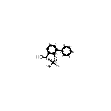 OCc1cccc(-c2ccccc2)c1OC(F)(F)F